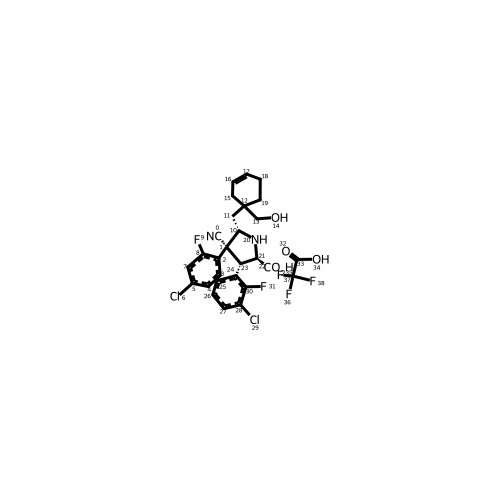 N#C[C@]1(c2ccc(Cl)cc2F)[C@H](CC2(CO)CC=CCC2)N[C@@H](C(=O)O)[C@@H]1c1cccc(Cl)c1F.O=C(O)C(F)(F)F